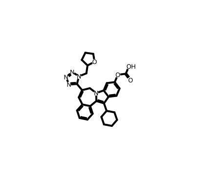 O=C(O)Oc1ccc2c(C3CCCCC3)c3n(c2c1)CC(c1nnnn1CC1CCCO1)=Cc1ccccc1-3